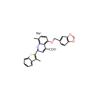 Cc1c(-c2cc(C(=O)[O-])c3c(OCc4ccc5c(c4)OCO5)ccc(C)c3n2)sc2ccccc12.[Na+]